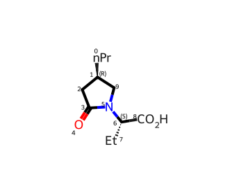 CCC[C@@H]1CC(=O)N([C@@H](CC)C(=O)O)C1